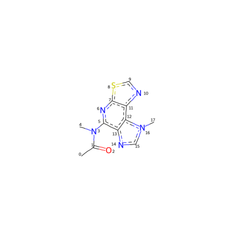 CC(=O)N(C)c1nc2scnc2c2c1ncn2C